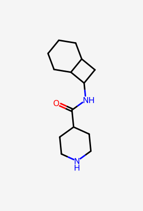 O=C(NC1CC2CCCCC21)C1CCNCC1